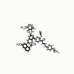 C#Cc1cccc2cc(O)cc([C@@H]3Cc4nc(OCC5(C(=O)N(C)C)CC5)nc(N5CCN(C(=O)/C=C/CN6CCC(OC)CC6)[C@@H](CC#N)C5)c4CO3)c12